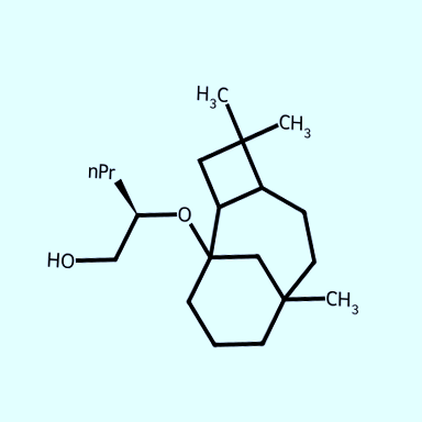 CCC[C@H](CO)OC12CCCC(C)(CCC3C1CC3(C)C)C2